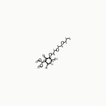 CCCOCCOCCOc1c(I)cc(I)c(C(OC)OC)c1I